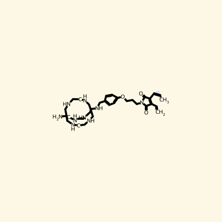 C=CC1=C(/C=C\C)C(=O)N(CCCOc2ccc(CNC34CNCCNCC(N)(CNCCNC3)CNCCNC4)cc2)C1=O